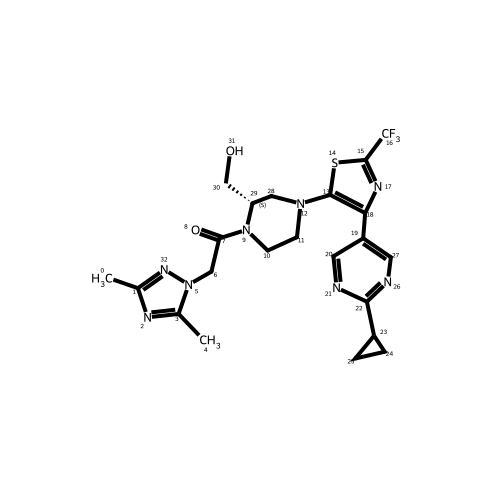 Cc1nc(C)n(CC(=O)N2CCN(c3sc(C(F)(F)F)nc3-c3cnc(C4CC4)nc3)C[C@H]2CO)n1